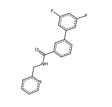 O=C(NCc1ccccn1)c1cccc(-c2cc(F)cc(F)c2)c1